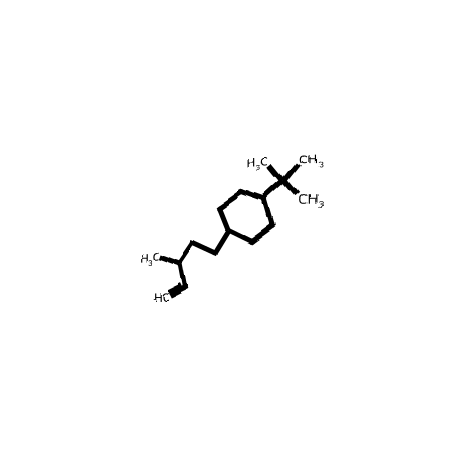 [CH]=CC(C)CCC1CCC(C(C)(C)C)CC1